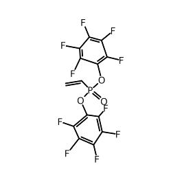 C=CP(=O)(Oc1c(F)c(F)c(F)c(F)c1F)Oc1c(F)c(F)c(F)c(F)c1F